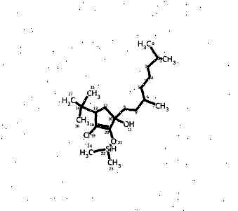 CC(C)CCCC(C)CCC1(O)CC(C(C)(C)C)C(Cl)=C1O[SiH](C)C